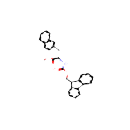 COC(=O)[C@H](Cc1ccc2ccccc2c1)NC(=O)OCC1c2ccccc2-c2ccccc21